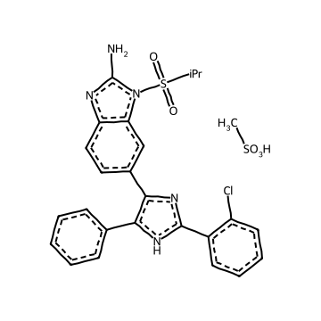 CC(C)S(=O)(=O)n1c(N)nc2ccc(-c3nc(-c4ccccc4Cl)[nH]c3-c3ccccc3)cc21.CS(=O)(=O)O